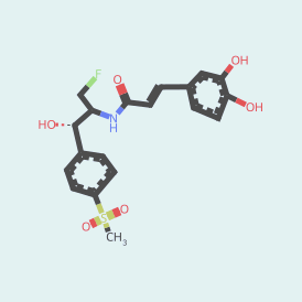 CS(=O)(=O)c1ccc([C@H](O)C(CF)NC(=O)C=Cc2ccc(O)c(O)c2)cc1